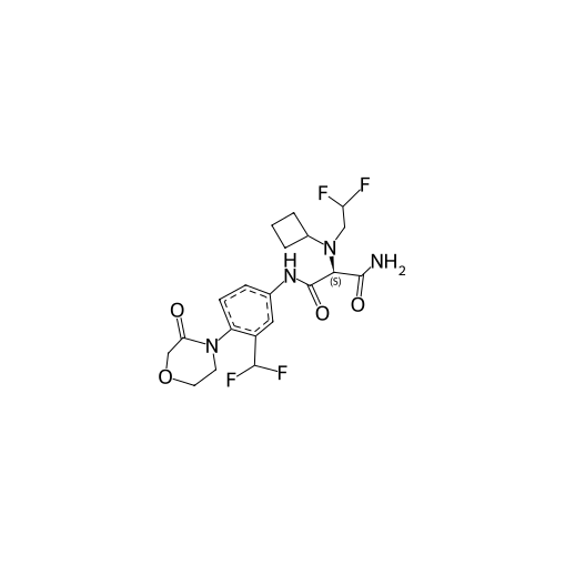 NC(=O)[C@@H](C(=O)Nc1ccc(N2CCOCC2=O)c(C(F)F)c1)N(CC(F)F)C1CCC1